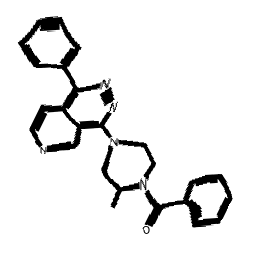 CC1CN(c2nnc(-c3ccccc3)c3ccncc23)CCN1C(=O)c1ccccc1